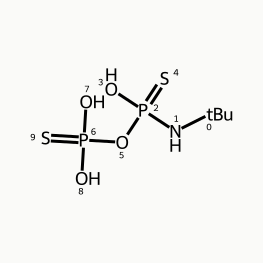 CC(C)(C)NP(O)(=S)OP(O)(O)=S